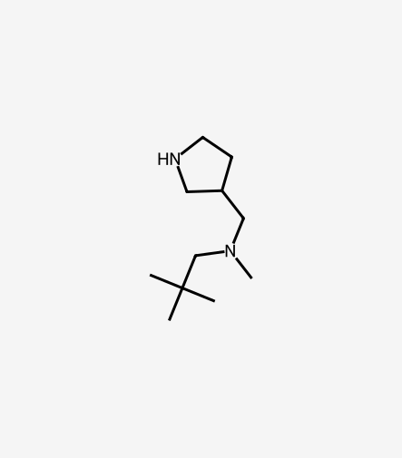 CN(CC1CCNC1)CC(C)(C)C